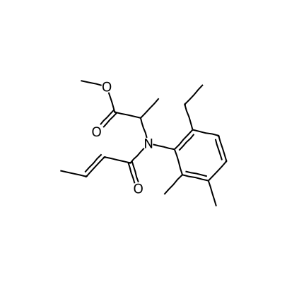 C/C=C/C(=O)N(c1c(CC)ccc(C)c1C)C(C)C(=O)OC